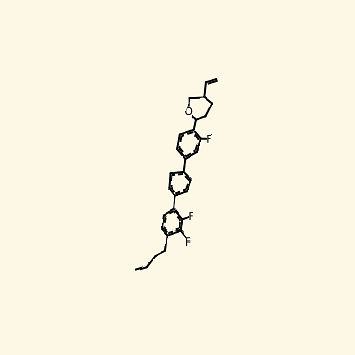 C=CC1CCC(c2ccc(-c3ccc(-c4ccc(CCCC)c(F)c4F)cc3)cc2F)OC1